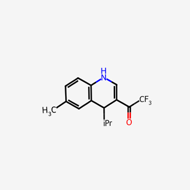 Cc1ccc2c(c1)C(C(C)C)C(C(=O)C(F)(F)F)=CN2